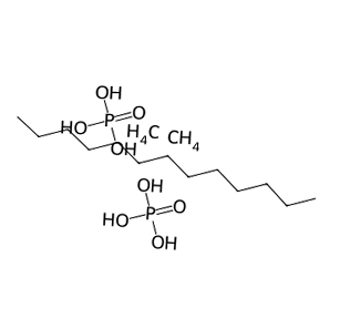 C.C.CCCCCCCCCCCCC.O=P(O)(O)O.O=P(O)(O)O